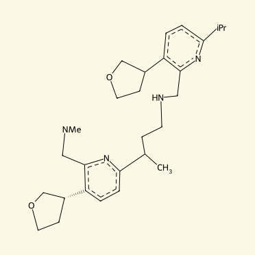 CNCc1nc(C(C)CCNCc2nc(C(C)C)ccc2C2CCOC2)ccc1[C@@H]1CCOC1